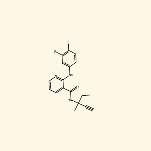 C#CC(C)(CC)NC(=O)c1cccnc1Nc1ccc(F)c(F)c1